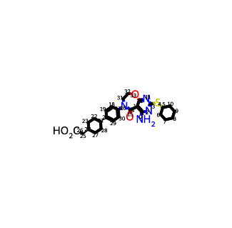 Nc1nc(SC2CCCCC2)nc2c1C(=O)N(c1ccc([C@H]3CC[C@H](CC(=O)O)CC3)cc1)CCO2